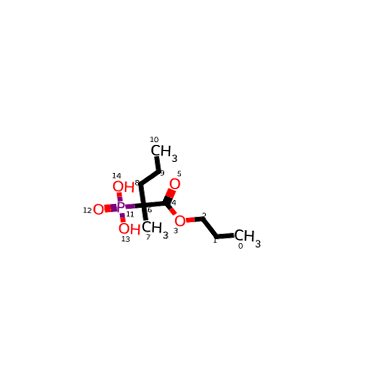 CCCOC(=O)C(C)(CCC)P(=O)(O)O